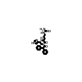 N=C(N)NCCCC(N)C(=O)N(CCc1c[nH]cn1)C(=O)C(c1ccccc1)c1ccccc1